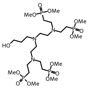 COP(=O)(CCN(CCN(CCCO)CCN(CCP(=O)(OC)OC)CCP(=O)(OC)OC)CCP(=O)(OC)OC)OC